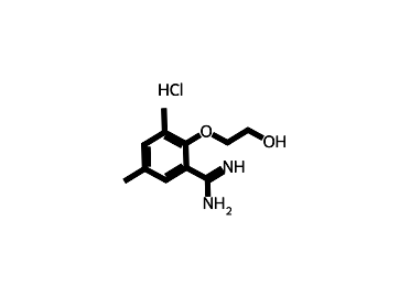 Cc1cc(C)c(OCCO)c(C(=N)N)c1.Cl